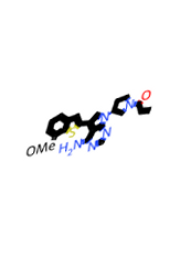 C=CC(=O)N1CC[C@H](n2cc(-c3cc4cccc(OC)c4s3)c3c(N)ncnc32)C1